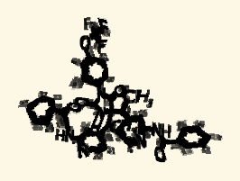 CC(c1ccnc(NC(=O)c2ccccc2)c1)C1(C(C)c2ccnc(NC(=O)c3ccccc3)c2)NC(=O)N(c2ccc(OC(F)(F)F)cc2)C1=O